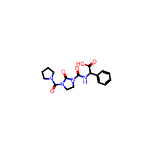 O=C(O)C(NC(=O)N1CCN(C(=O)N2CCCC2)C1=O)c1ccccc1